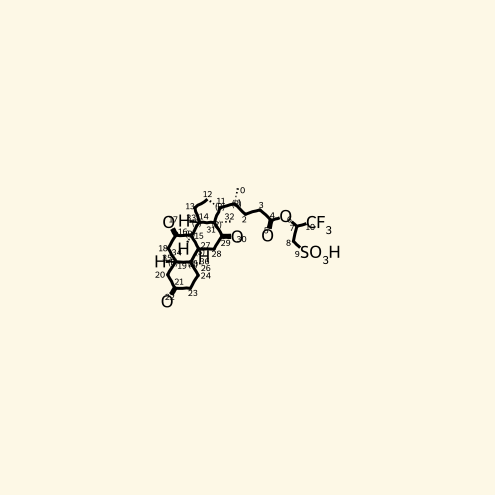 C[C@H](CCC(=O)OC(CS(=O)(=O)O)C(F)(F)F)[C@H]1CC[C@H]2[C@@H]3C(=O)C[C@H]4CC(=O)CC[C@]4(C)[C@H]3CC(=O)[C@]12C